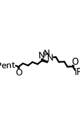 CCCC(C)C(=O)CCCCc1cn(CCCCC(=O)C(C)C)nn1